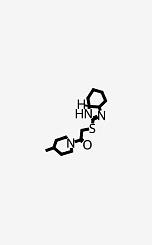 CC1CCN(C(=O)CSC2=NC3CCCC[C@H]3N2)CC1